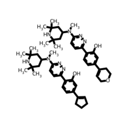 CN(c1ccc(-c2ccc(C3=CCCC3)cc2O)nn1)C1CC(C)(C)NC(C)(C)C1.CN(c1ccc(-c2ccc(C3=CCOCC3)cc2O)nn1)C1CC(C)(C)NC(C)(C)C1